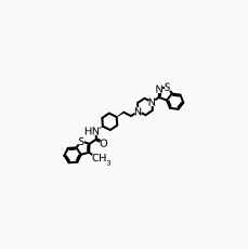 Cc1c(C(=O)N[C@H]2CC[C@H](CCN3CCN(c4nsc5ccccc45)CC3)CC2)sc2ccccc12